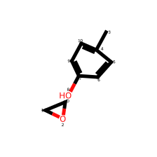 C1CO1.Cc1ccc(O)cc1